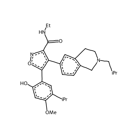 CCNC(=O)c1noc(-c2cc(C(C)C)c(OC)cc2O)c1-c1ccc2c(c1)CCN(CC(C)C)C2